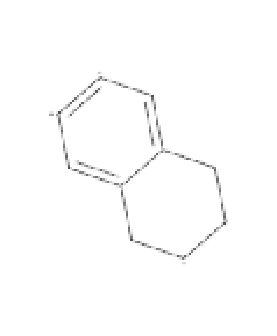 [c]1[c]cc2c(c1)C[CH]CC2